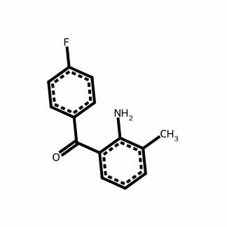 Cc1cccc(C(=O)c2ccc(F)cc2)c1N